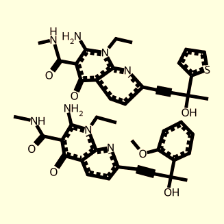 CCn1c(N)c(C(=O)NC)c(=O)c2ccc(C#CC(C)(O)c3ccccc3OC)nc21.CCn1c(N)c(C(=O)NC)c(=O)c2ccc(C#CC(C)(O)c3cccs3)nc21